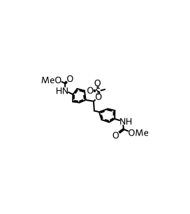 COC(=O)Nc1ccc(CC(OS(C)(=O)=O)c2ccc(NC(=O)OC)cc2)cc1